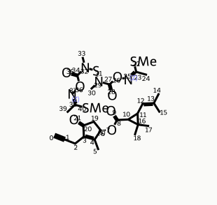 C#CCC1=C(C)[C@@H](OC(=O)C2C(C=C(C)C)C2(C)C)CC1=O.CS/C(C)=N\OC(=O)N(C)SN(C)C(=O)O/N=C(/C)SC